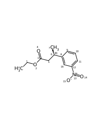 CCOC(=O)C[C@@H](C)c1cccc([N+](=O)[O-])c1